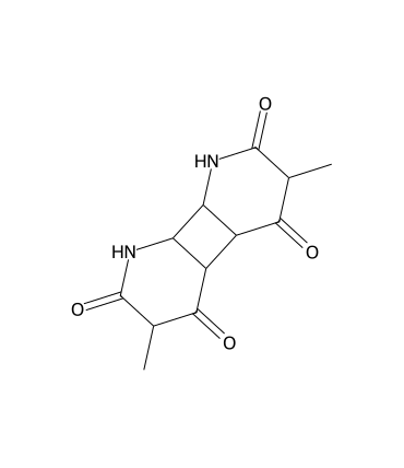 CC1C(=O)NC2C3NC(=O)C(C)C(=O)C3C2C1=O